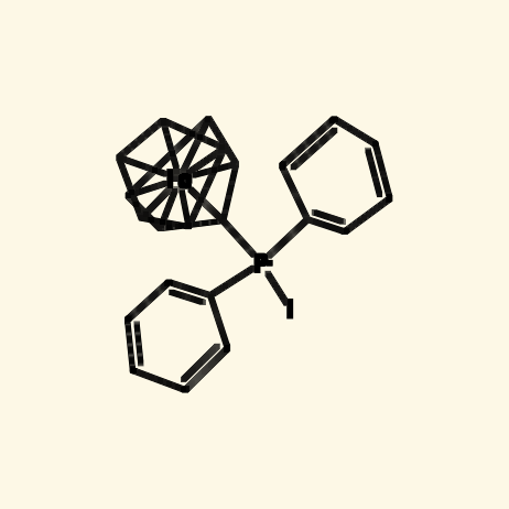 I[P](c1ccccc1)(c1ccccc1)[C]12[CH]3[CH]4[CH]5[CH]1[Fe]45321678[CH]2[CH]1[CH]6[CH]7[CH]28